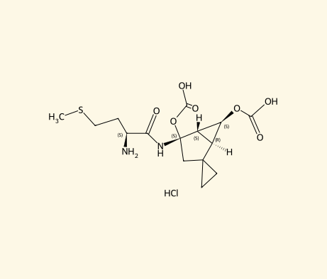 CSCC[C@H](N)C(=O)N[C@]1(OC(=O)O)CC2(CC2)[C@@H]2[C@H](OC(=O)O)[C@H]21.Cl